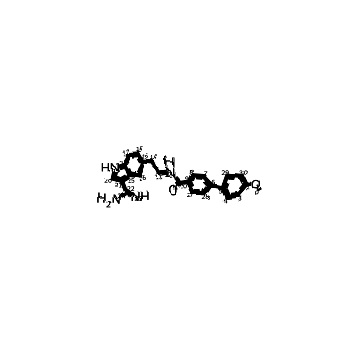 COc1ccc(-c2ccc(C(=O)NCCc3ccc4[nH]cc(C(=N)N)c4c3)cc2)cc1